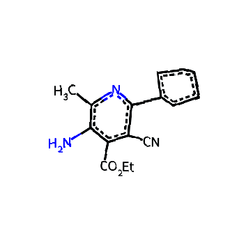 CCOC(=O)c1c(N)c(C)nc(-c2ccccc2)c1C#N